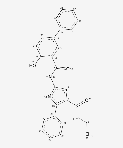 CCOC(=O)c1sc(NC(=O)c2cc(-c3ccccc3)ccc2O)nc1-c1ccccc1